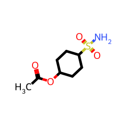 CC(=O)OC1CCC(S(N)(=O)=O)CC1